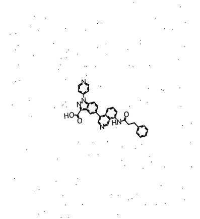 O=C(CCc1ccccc1)Nc1cccc2c(-c3ccc4c(c3)c(C(=O)O)nn4-c3ccncc3)cncc12